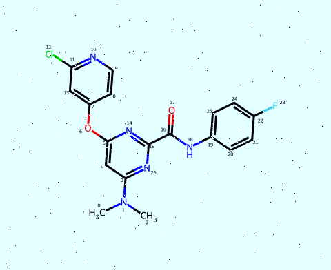 CN(C)c1cc(Oc2ccnc(Cl)c2)nc(C(=O)Nc2ccc(F)cc2)n1